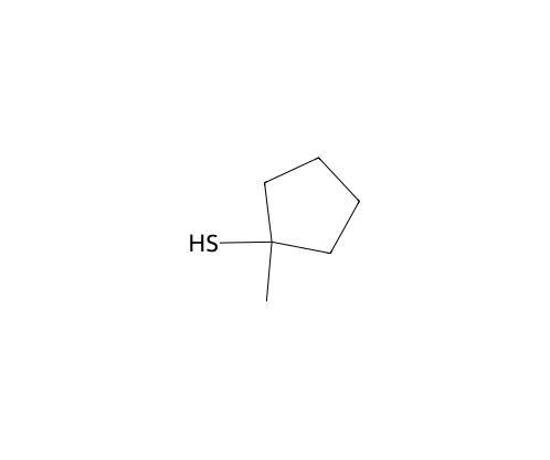 CC1(S)CCCC1